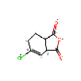 O=C1OC(=O)C2CCC(Cl)=CC12